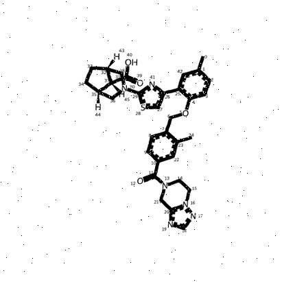 Cc1ccc(OCc2ccc(C(=O)N3CCn4ncnc4C3)cc2C)c(-c2csc(N3C[C@H]4CC[C@@H](C3)[C@H]4C(=O)O)n2)c1